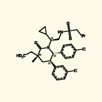 CC(C)CS(=O)(=O)NC[C@H](C1CC1)N1C(=O)[C@@](C)(CC(=O)O)C[C@H](c2cccc(Cl)c2)[C@H]1c1ccc(Cl)cc1